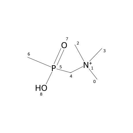 C[N+](C)(C)CP(C)(=O)O